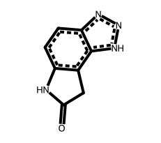 O=C1Cc2c(ccc3nn[nH]c23)N1